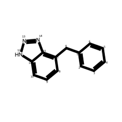 [CH](c1ccccc1)c1cccc2[nH]nnc12